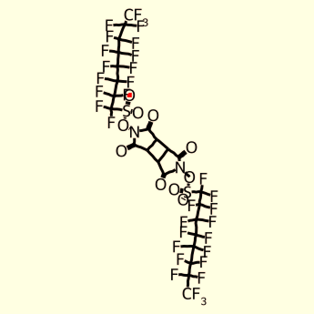 O=C1C2C(C(=O)N1OS(=O)(=O)C(F)(F)C(F)(F)C(F)(F)C(F)(F)C(F)(F)C(F)(F)C(F)(F)C(F)(F)F)C1C(=O)N(OS(=O)(=O)C(F)(F)C(F)(F)C(F)(F)C(F)(F)C(F)(F)C(F)(F)C(F)(F)C(F)(F)F)C(=O)C21